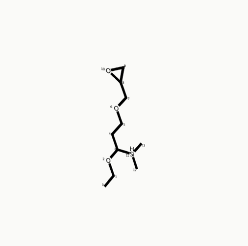 CCOC(CCOCC1CO1)[SiH](C)C